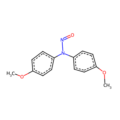 COc1ccc(N(N=O)c2ccc(OC)cc2)cc1